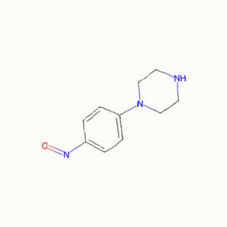 O=Nc1ccc(N2CCNCC2)cc1